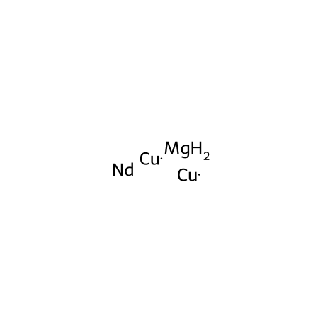 [Cu].[Cu].[MgH2].[Nd]